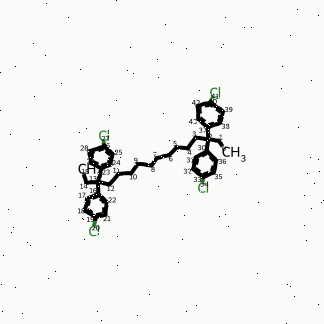 CCC(CCCCCCCCCCC(CC)(c1ccc(Cl)cc1)c1ccc(Cl)cc1)(c1ccc(Cl)cc1)c1ccc(Cl)cc1